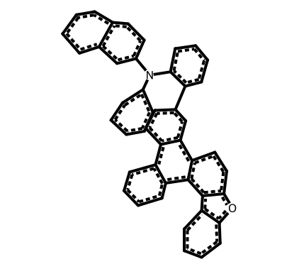 c1ccc(N(c2ccc3ccccc3c2)c2ccccc2-c2ccc3c4ccccc4c4c(ccc5oc6ccccc6c54)c3c2)cc1